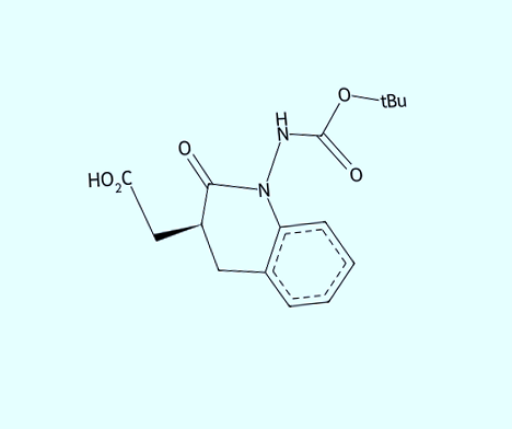 CC(C)(C)OC(=O)NN1C(=O)[C@H](CC(=O)O)Cc2ccccc21